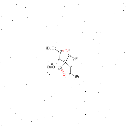 CC(C)CCC(CC(=O)OCC(C)C)(CC(C)C)C(=O)OCC(C)C